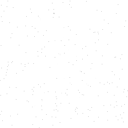 O=C1C2=C(CCN(Cc3cc(F)cc(F)c3)C2)N2CCN=C2N1[C@H](CO)c1ccc(F)cc1